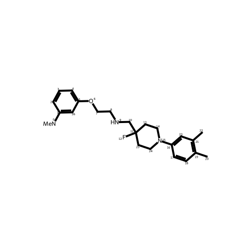 CNc1cccc(OCCNCC2(F)CCN(c3ccc(C)c(C)c3)CC2)c1